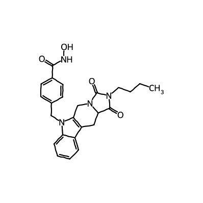 CCCCN1C(=O)C2Cc3c(n(Cc4ccc(C(=O)NO)cc4)c4ccccc34)CN2C1=O